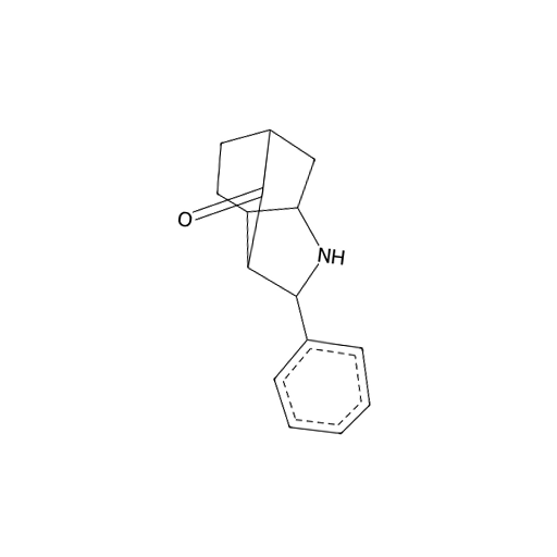 O=C1C2CCC3C(C2)NC(c2ccccc2)C13